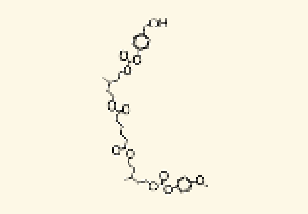 COc1ccc(OC(=O)OCCC(C)CCOC(=O)CCCCC(=O)OCCC(C)CCOC(=O)Oc2ccc(CO)cc2)cc1